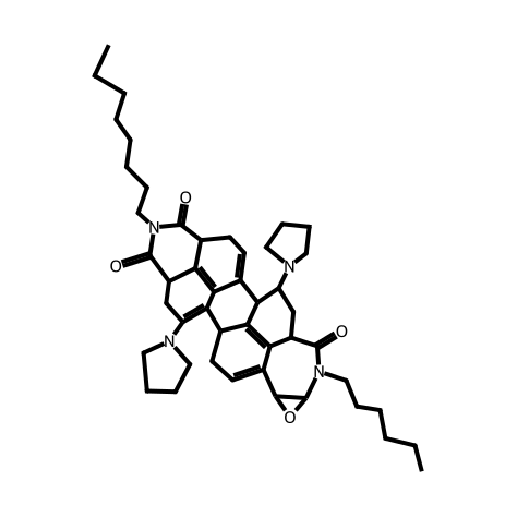 CCCCCCCCN1C(=O)C2CC=C3C4=C2C(CC(N2CCCC2)=C4C2CC=C4C5=C2C3C(N2CCCC2)CC5C(=O)N(CCCCCC)C2OC42)C1=O